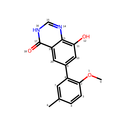 COc1ccc(C)cc1-c1cc(O)c2nc[nH]c(=O)c2c1